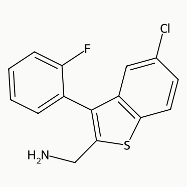 NCc1sc2ccc(Cl)cc2c1-c1ccccc1F